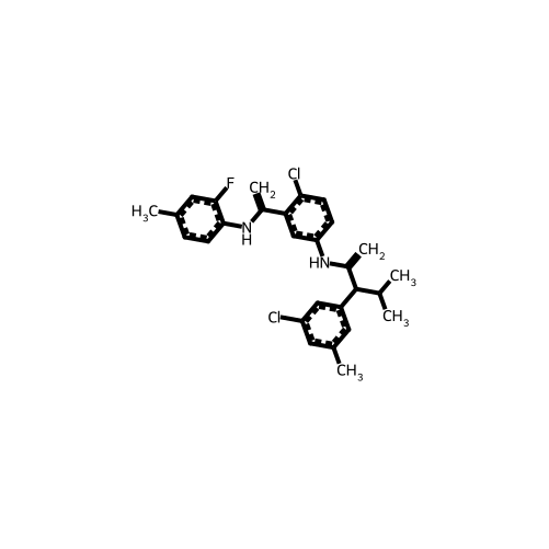 C=C(Nc1ccc(C)cc1F)c1cc(NC(=C)C(c2cc(C)cc(Cl)c2)C(C)C)ccc1Cl